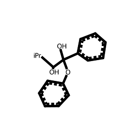 CC(C)C(O)C(O)(Oc1ccccc1)c1ccccc1